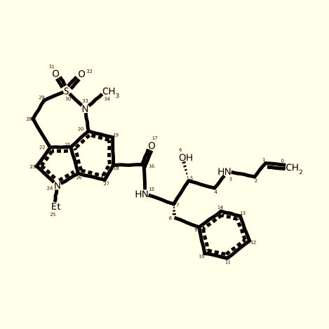 C=CCNC[C@@H](O)[C@H](Cc1ccccc1)NC(=O)c1cc2c3c(cn(CC)c3c1)CCS(=O)(=O)N2C